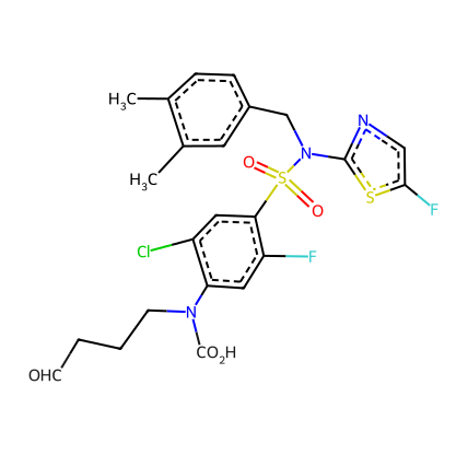 Cc1ccc(CN(c2ncc(F)s2)S(=O)(=O)c2cc(Cl)c(N(CCCC=O)C(=O)O)cc2F)cc1C